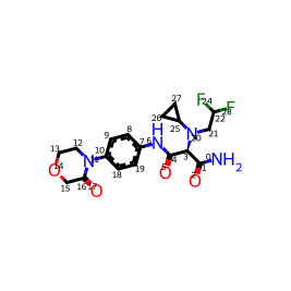 NC(=O)[C@@H](C(=O)Nc1ccc(N2CCOCC2=O)cc1)N(CC(F)F)C1CC1